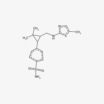 Cc1cnc(NCC2C(c3ccc(S(N)(=O)=O)cc3)C2(C)C)s1